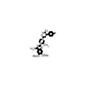 CCN[C@H](CC(=O)N1CCN(c2nc(N)c3cc(OC)c(OC)cc3n2)C(C)C1)c1ccc(F)cc1